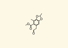 COC(=O)c1c(CC=O)cc2c(c1C)OC(C)O2